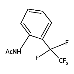 [CH2]C(=O)Nc1ccccc1C(F)(F)C(F)(F)F